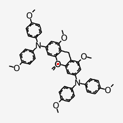 COc1ccc(N(c2ccc(OC)cc2)c2cc(OC)c(Cc3c(OC)cc(N(c4ccc(OC)cc4)c4ccc(OC)cc4)cc3OC)c(OC)c2)cc1